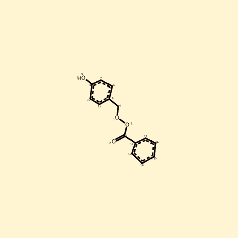 O=C(OOCc1ccc(O)cc1)c1ccccc1